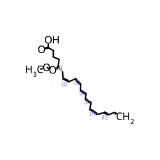 C=C/C=C/C=C\C=C\C=C\C=C/C=C\C[C@@H](CCCC(=O)O)OOC